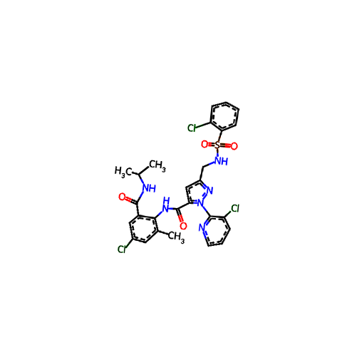 Cc1cc(Cl)cc(C(=O)NC(C)C)c1NC(=O)c1cc(CNS(=O)(=O)c2ccccc2Cl)nn1-c1ncccc1Cl